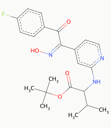 CC(C)C(Nc1cc(C(=NO)C(=O)c2ccc(F)cc2)ccn1)C(=O)OC(C)(C)C